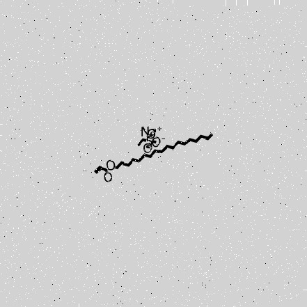 C=CC(=O)OCCCCCCCCCCCCCCCCCC.CCS(=O)(=O)[O-].[Na+]